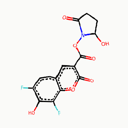 O=C(ON1C(=O)CCC1O)c1cc2cc(F)c(O)c(F)c2oc1=O